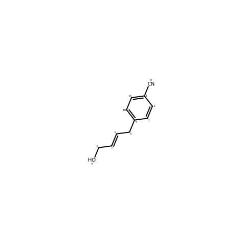 N#Cc1ccc(CC=CCO)cc1